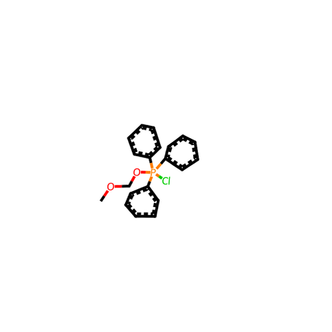 COCOP(Cl)(c1ccccc1)(c1ccccc1)c1ccccc1